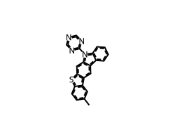 Cc1ccc2sc3cc4c(cc3c2c1)c1ccccc1n4-c1ncncn1